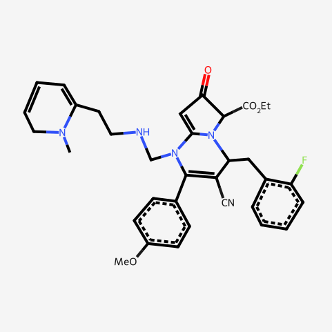 CCOC(=O)C1C(=O)C=C2N(CNCCC3=CC=CCN3C)C(c3ccc(OC)cc3)=C(C#N)C(Cc3ccccc3F)N21